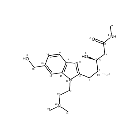 CNC(=O)C[C@H](O)[C@H](C)Cc1nc2ccc(CO)cc2n1CCN(C)C